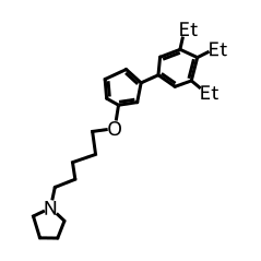 CCc1cc(-c2cccc(OCCCCCN3CCCC3)c2)cc(CC)c1CC